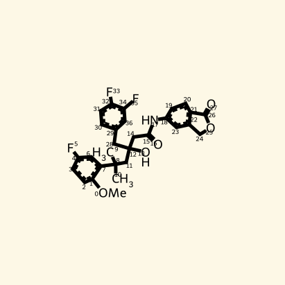 COc1ccc(F)cc1C(C)(C)CC(O)(CC(=O)Nc1ccc2c(c1)COC2=O)Cc1ccc(F)c(F)c1